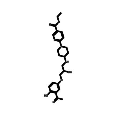 CCOC(=O)c1ccc(N2CCC(NCC(O)COc3ccc(O)c(C(C)=O)c3)CC2)nc1